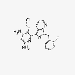 NC1=[C]C(N)N(CCCl)C(c2nc(Cc3ccccc3F)n3ncccc23)=N1